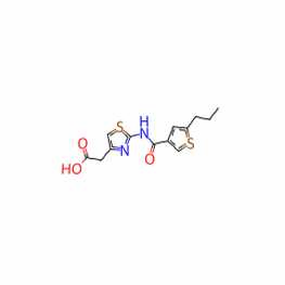 CCCc1cc(C(=O)Nc2nc(CC(=O)O)cs2)cs1